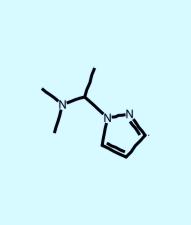 CC(N(C)C)n1cc[c]n1